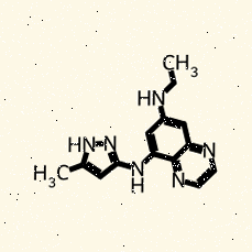 CCNc1cc(Nc2cc(C)[nH]n2)c2nccnc2c1